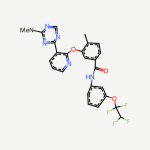 CNc1ncnc(-c2cccnc2Oc2cc(C(=O)Nc3cccc(OC(F)(F)C(F)F)c3)ccc2C)n1